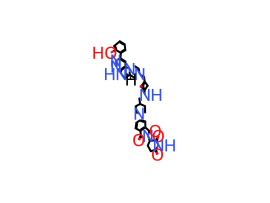 O=C1CCC(N2C(=O)c3ccc(N4CCC(CNC56CC(CN7CCN8c9cc(-c%10ccccc%10O)nnc9NC[C@H]8C7)(C5)C6)CC4)cc3C2=O)C(=O)N1